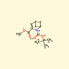 COC(=O)C1=CC2CC(C2)N1C(=O)OC(C)(C)C